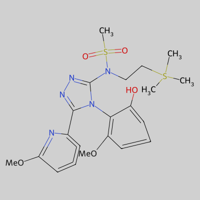 COC1=NC(c2nnc(N(CCS(C)(C)C)S(C)(=O)=O)n2-c2c(O)cccc2OC)=C=C=C1